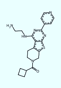 NCCNc1nc(-c2ccncc2)nc2sc3c(c12)CCN(C(=O)C1CCC1)C3